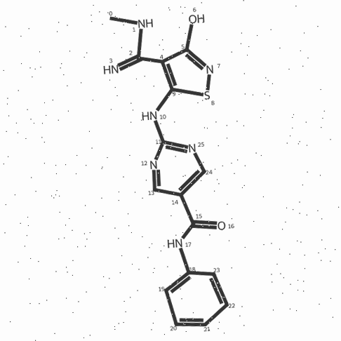 CNC(=N)c1c(O)nsc1Nc1ncc(C(=O)Nc2ccccc2)cn1